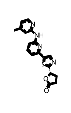 Cc1ccnc(Nc2cccc(-c3cnc([C@@H]4CCC(=O)O4)s3)n2)c1